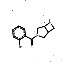 O=C(c1ccccc1Br)N1CC2CNC2C1